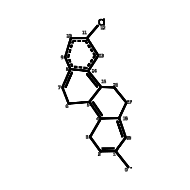 [CH2]C1=CCC2=C3CC=c4ccc(Cl)cc4=C3CCC2=C1